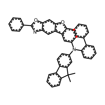 CC1(C)c2ccccc2-c2ccc(N(c3ccc4oc5cc6oc(-c7ccccc7)nc6cc5c4c3)c3ccccc3-c3ccccc3)cc21